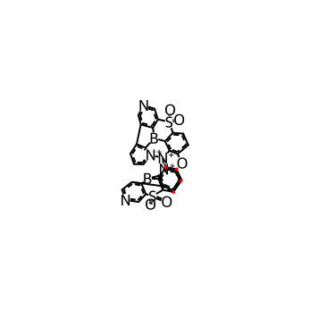 O=S1(=O)c2cncc3c2B2c4c1ccc1c4[N+]4(c5c(ccc6c5B5c7c(cncc7S6(=O)=O)-c6ccc[n+]4c65)O1)[n+]1cccc-3c12